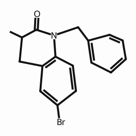 CC1Cc2cc(Br)ccc2N(Cc2ccccc2)C1=O